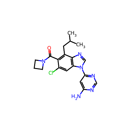 CC(C)Cc1c(C(=O)N2CCC2)c(Cl)cc2c1ncn2-c1cc(N)ncn1